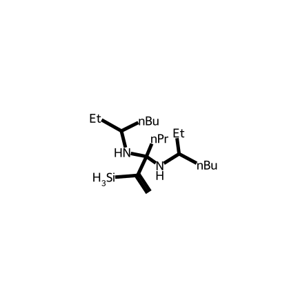 C=C([SiH3])C(CCC)(NC(CC)CCCC)NC(CC)CCCC